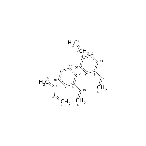 C=C.C=CC=C.C=Cc1ccccc1.C=Cc1ccccc1